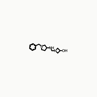 OC1CN(CNC2CCN(Cc3ccccc3)C2)C1